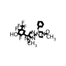 CC(=O)N1CCN(c2ncc3c(-c4cc(C(F)(F)F)c(F)c(O)c4F)nn(C)c3n2)[C@H](Cc2ccccc2)C1